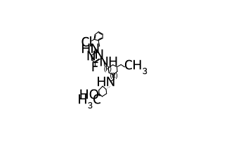 CCCC1C[C@@H](CNC[C@H]2CC[C@](C)(O)CC2)C[C@H](CNc2nc(NCc3ccccc3Cl)ncc2F)C1